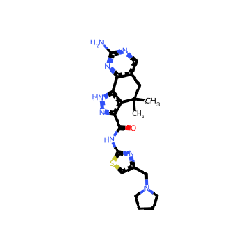 CC1(C)Cc2cnc(N)nc2-c2[nH]nc(C(=O)Nc3nc(CN4CCCC4)cs3)c21